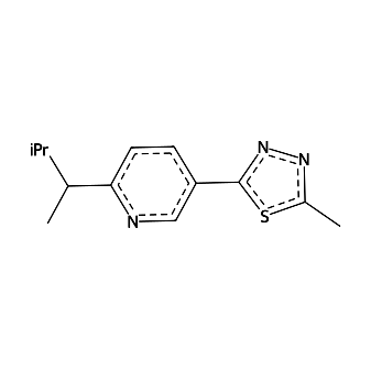 Cc1nnc(-c2ccc(C(C)C(C)C)nc2)s1